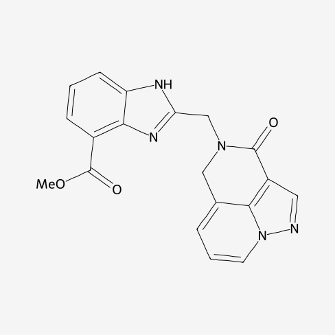 COC(=O)c1cccc2[nH]c(CN3Cc4cccn5ncc(c45)C3=O)nc12